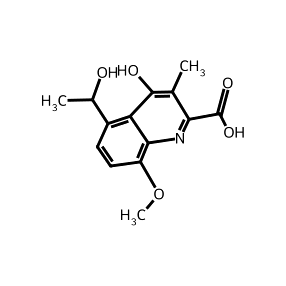 COc1ccc(C(C)O)c2c(O)c(C)c(C(=O)O)nc12